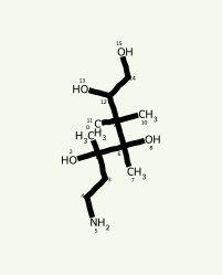 CC(O)(CCN)C(C)(O)C(C)(C)C(O)CO